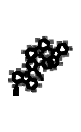 N#Cc1c(-c2ccccc2-n2c3ccccc3c3cccc(-n4c5ccccc5c5ccccc54)c32)cccc1-n1c2ccccc2c2c(C#N)cccc21